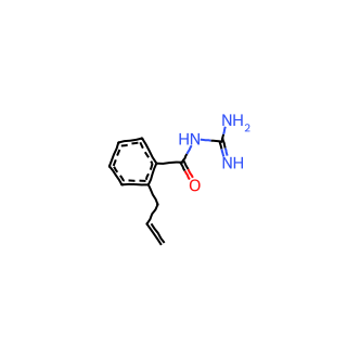 C=CCc1ccccc1C(=O)NC(=N)N